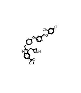 O=C(O)c1ccc2nc(CN3CCC(Oc4ccnc(COc5ccc(Cl)cc5Cl)c4)CC3)n(CC3CNC3)c2c1